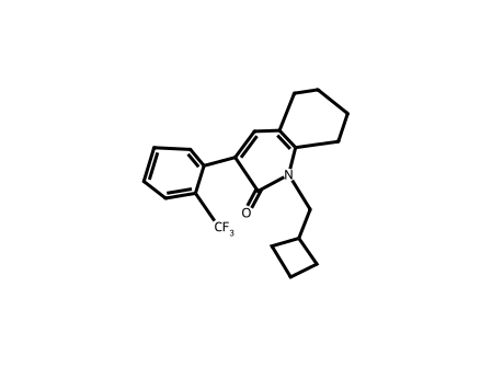 O=c1c(-c2ccccc2C(F)(F)F)cc2c(n1CC1CCC1)CCCC2